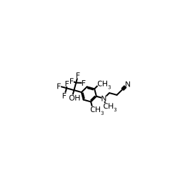 Cc1cc(C(O)(C(F)(F)F)C(F)(F)F)cc(C)c1N(C)CCC#N